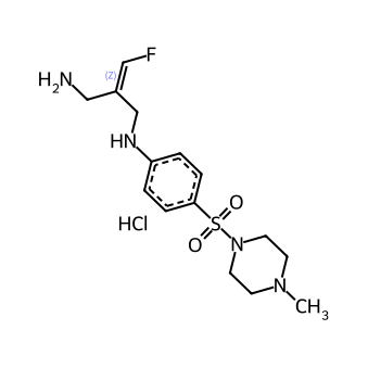 CN1CCN(S(=O)(=O)c2ccc(NC/C(=C\F)CN)cc2)CC1.Cl